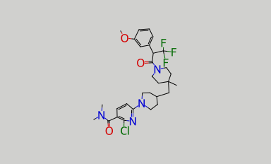 COc1cccc(C(C(=O)N2CCC(C)(CC3CCN(c4ccc(C(=O)N(C)C)c(Cl)n4)CC3)CC2)C(F)(F)F)c1